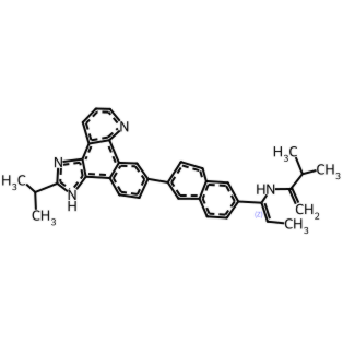 C=C(N/C(=C\C)c1ccc2cc(-c3ccc4c(c3)c3ncccc3c3nc(C(C)C)[nH]c43)ccc2c1)C(C)C